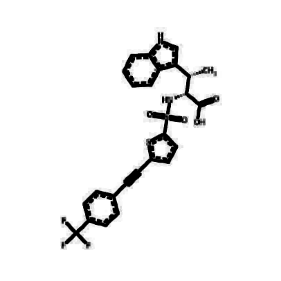 C[C@@H](c1c[nH]c2ccccc12)[C@@H](NS(=O)(=O)c1ccc(C#Cc2ccc(C(F)(F)F)cc2)s1)C(=O)O